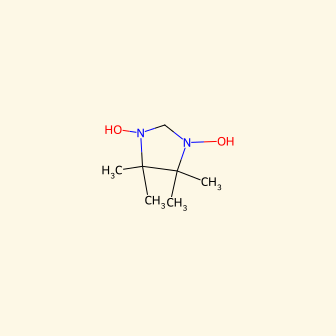 CC1(C)N(O)CN(O)C1(C)C